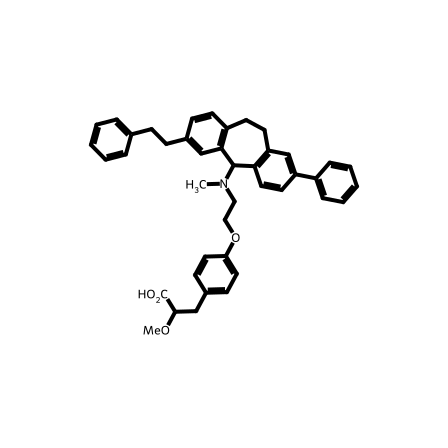 COC(Cc1ccc(OCCN(C)C2c3ccc(-c4ccccc4)cc3CCc3ccc(CCc4ccccc4)cc32)cc1)C(=O)O